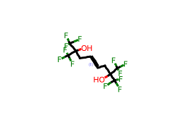 OC(C/C=C/CC(O)(C(F)(F)F)C(F)(F)F)(C(F)(F)F)C(F)(F)F